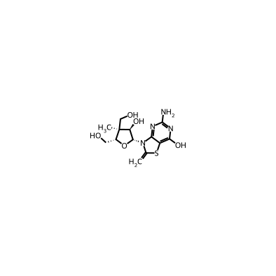 C=C1Sc2c(O)nc(N)nc2N1[C@@H]1O[C@H](CO)[C@@](C)(CO)[C@H]1O